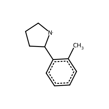 Cc1ccccc1C1CCC[N]1